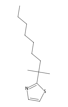 CCCCCCCC(C)(C)c1nccs1